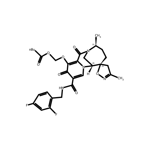 CCCCC(=O)OCOc1c2n(cc(C(=O)NCc3ccc(F)cc3F)c1=O)[C@@H]1CN(C2=O)[C@@H](C)CC[C@]12CC(C)=NO2